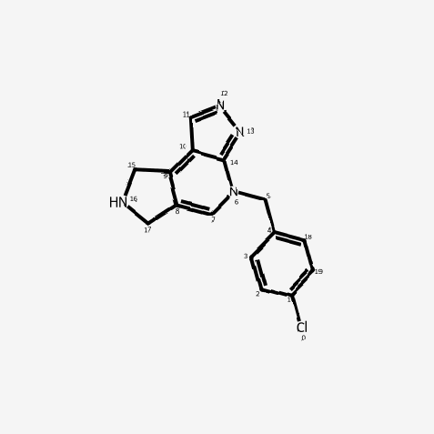 Clc1ccc(Cn2cc3c(c4cnnc2-4)CNC3)cc1